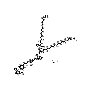 CCCCCCCCCCCCCCCC(=O)OC[C@H](COP(=O)([O-])OCCNC(=O)CCCc1ccc(N2C(=O)C=CC2=O)cc1)OC(=O)CCCCCCCCCCCCCCC.[Na+]